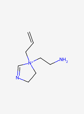 C=CC[N+]1(CCN)C=NCC1